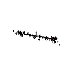 O=C(CCCC[C@@H]1SC[C@@H]2N/C(=N/C(=O)C(F)(F)F)N[C@@H]21)NCCCCCC(=O)NCCNC(=O)CCCCCNC(=O)CCCC[C@@H]1SC[C@@H]2N/C(=N\C(=O)C(F)(F)F)N[C@@H]21